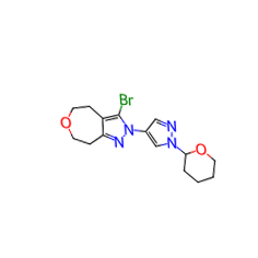 Brc1c2c(nn1-c1cnn(C3CCCCO3)c1)CCOCC2